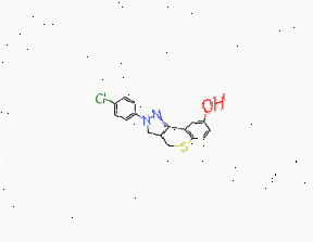 Oc1ccc2c(c1)C1=NN(c3ccc(Cl)cc3)CC1CS2